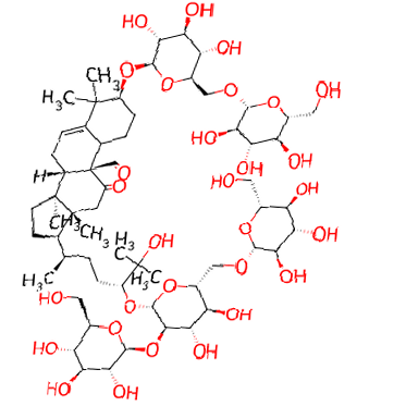 C[C@H](CC[C@@H](O[C@@H]1O[C@H](CO[C@@H]2O[C@H](CO)[C@@H](O)[C@H](O)[C@H]2O)[C@@H](O)[C@H](O)[C@H]1O[C@@H]1O[C@H](CO)[C@@H](O)[C@H](O)[C@H]1O)C(C)(C)O)[C@H]1CC[C@@]2(C)[C@@H]3CC=C4C(CC[C@H](O[C@@H]5O[C@H](CO[C@@H]6O[C@H](CO)[C@@H](O)[C@H](O)[C@H]6O)[C@@H](O)[C@H](O)[C@H]5O)C4(C)C)[C@]3(C=O)C(=O)C[C@]12C